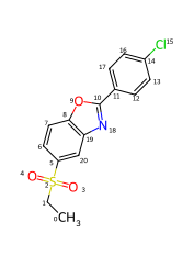 CCS(=O)(=O)c1ccc2oc(-c3ccc(Cl)cc3)nc2c1